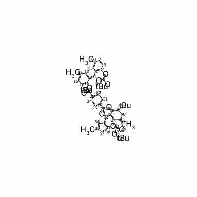 Cc1ccc(OC(=O)OC(C)(C)C)c(Cc2cc(C)cc(C(C)(C)C)c2OC(=O)c2ccc(C(=O)Oc3c(Cc4cc(C)ccc4OC(=O)OC(C)(C)C)cc(C)cc3C(C)(C)C)cc2)c1